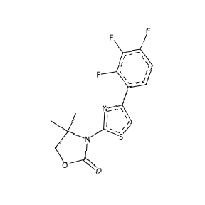 CC1(C)COC(=O)N1c1nc(-c2ccc(F)c(F)c2F)cs1